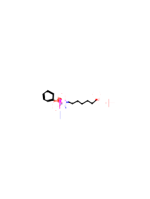 O=C(O)CCCCCCNS(=O)(=O)c1ccccc1